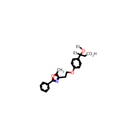 CCOC(CC)(CC(=O)O)c1ccc(OCCc2nc(-c3ccccc3)oc2C)cc1